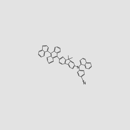 CC1(C)c2cc(-c3c4ccccc4c(-c4cccc5ccccc45)c4ccccc34)ccc2-c2ccc(N(c3ccc(C#N)cc3)c3cccc4ccccc34)cc21